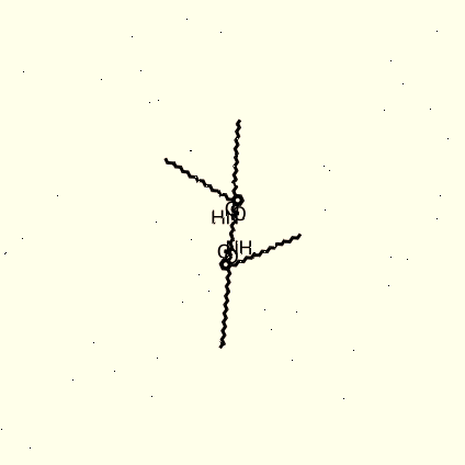 CCCCCCCCCCCCCCCCCCc1cccc(OC(=O)NCCCCCCNC(=O)Oc2cccc(CCCCCCCCCCCCCCCCCC)c2CCCCCCCCCCCCCCCCCC)c1CCCCCCCCCCCCCCCCCC